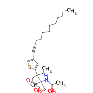 CCCCCCCCCCC#Cc1csc(C(CC)(CC)C(NC(C)=O)(C(=O)O)C(=O)O)c1